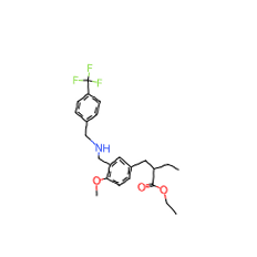 CCOC(=O)C(CC)Cc1ccc(OC)c(CNCc2ccc(C(F)(F)F)cc2)c1